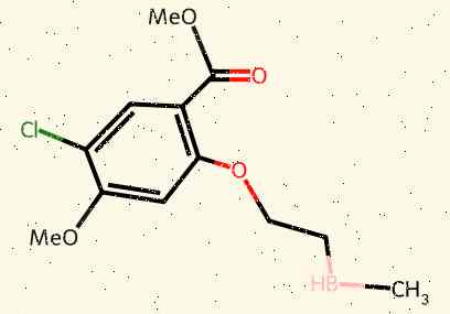 CBCCOc1cc(OC)c(Cl)cc1C(=O)OC